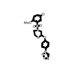 COc1ccc(Cl)cc1S(=O)(=O)N1CC[N]C(Oc2ccc(-n3cnnn3)cc2)C1